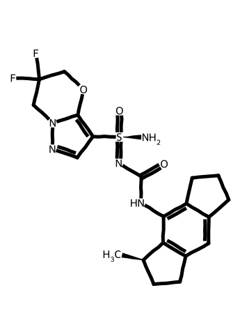 C[C@@H]1CCc2cc3c(c(NC(=O)N=[S@@](N)(=O)c4cnn5c4OCC(F)(F)C5)c21)CCC3